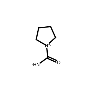 [NH]C(=O)[N+]1[CH]CCC1